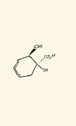 O=C(O)[C@]1(O)CC=C=C[C@H]1O